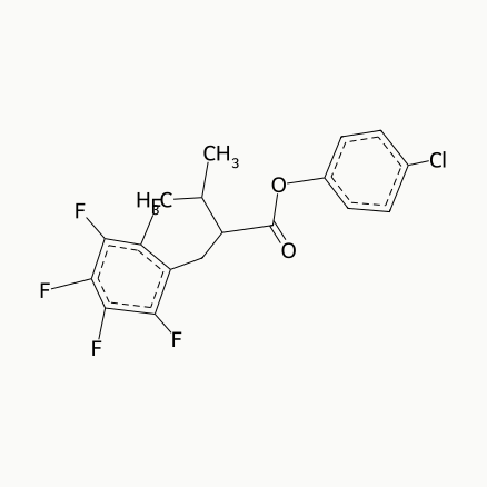 CC(C)C(Cc1c(F)c(F)c(F)c(F)c1F)C(=O)Oc1ccc(Cl)cc1